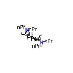 CCCN(CCC)[SiH](C)CCC[SiH](C)N(CCC)CCC